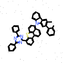 Cc1ccccc1-c1cc2c(cc1C)c1ccccc1n2-c1ccc2c3c(cccc13)-c1cccc(-c3nc(-c4ccccc4)nc(-c4ccccc4)n3)c1S2